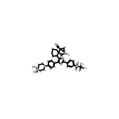 N#CC1(C2(C(N)=O)CCCCC2c2oc(-c3ccc(S(=O)(=O)C(F)(F)F)cc3)nc2-c2ccc(N3CCS(O)(O)CC3)cc2)CC1